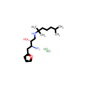 CC(C)CCCC(C)(C)NC[C@@H](O)[C@@H](N)Cc1ccco1.Cl.Cl